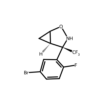 Fc1ccc(Br)cc1[C@@]1(C(F)(F)F)NOC2C[C@@H]21